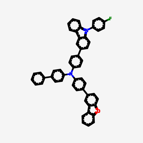 Fc1ccc(-n2c3ccccc3c3cc(-c4ccc(N(c5ccc(-c6ccccc6)cc5)c5ccc(-c6ccc7oc8ccccc8c7c6)cc5)cc4)ccc32)cc1